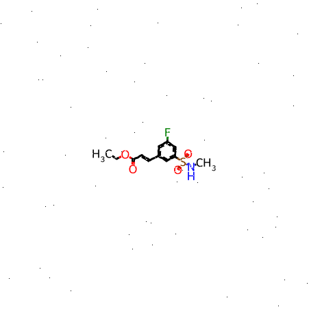 CCOC(=O)C=Cc1cc(F)cc(S(=O)(=O)NC)c1